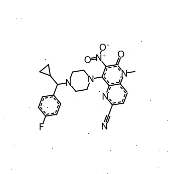 Cn1c(=O)c([N+](=O)[O-])c(N2CCN(C(c3ccc(F)cc3)C3CC3)CC2)c2nc(C#N)ccc21